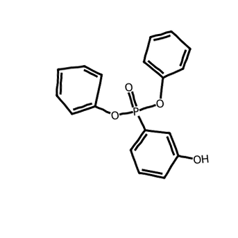 O=P(Oc1ccccc1)(Oc1ccccc1)c1cccc(O)c1